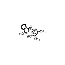 CC1C[C@@H]2OC1C(C)[C@H](O)[C@@H]2OC(=O)c1ccccc1C(=O)O